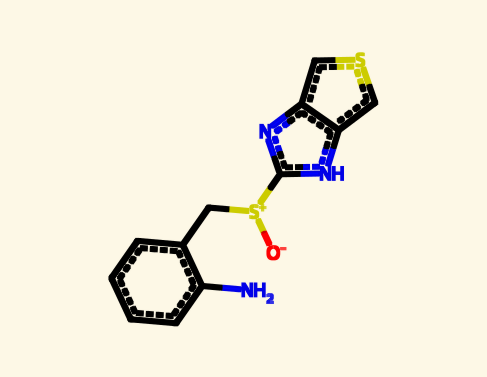 Nc1ccccc1C[S+]([O-])c1nc2cscc2[nH]1